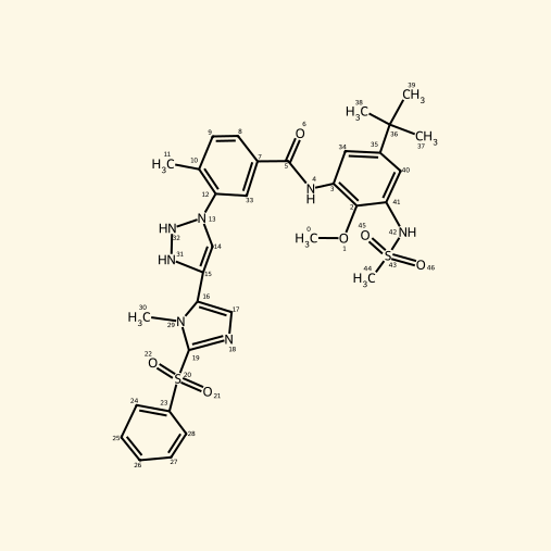 COc1c(NC(=O)c2ccc(C)c(N3C=C(c4cnc(S(=O)(=O)c5ccccc5)n4C)NN3)c2)cc(C(C)(C)C)cc1NS(C)(=O)=O